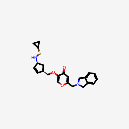 O=c1cc(CN2Cc3ccccc3C2)occ1OC[C@H]1C=C[C@@H](NSC2CC2)C1